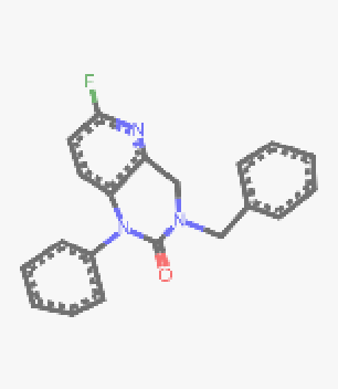 O=C1N(Cc2ccccc2)Cc2nc(F)ccc2N1c1ccccc1